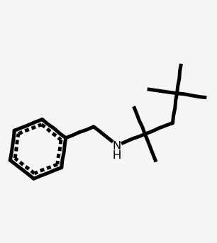 CC(C)(C)CC(C)(C)NCc1ccccc1